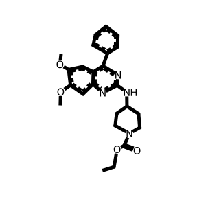 CCOC(=O)N1CCC(Nc2nc(-c3ccccc3)c3cc(OC)c(OC)cc3n2)CC1